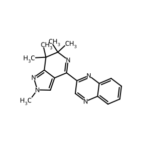 Cn1cc2c(n1)C(C)(C)C(C)(C)N=C2c1cnc2ccccc2n1